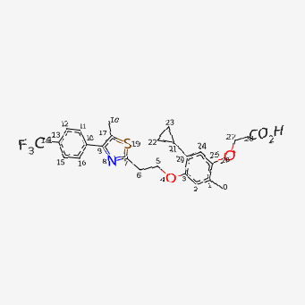 Cc1cc(OCCc2nc(-c3ccc(C(F)(F)F)cc3)c(C)s2)c(C2CC2)cc1OCC(=O)O